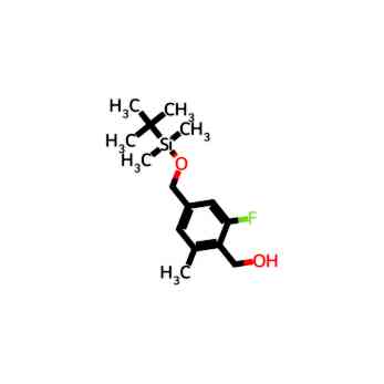 Cc1cc(CO[Si](C)(C)C(C)(C)C)cc(F)c1CO